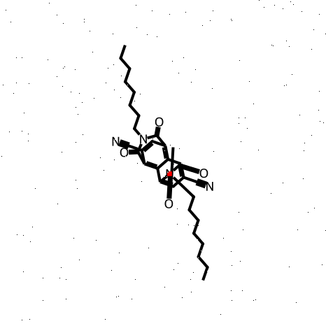 CCCCCCCCn1c(=O)c2cc(C#N)c(c1=O)c1c3cc(C#N)c(c(=O)n(CCCCCCCC)c3=O)c21